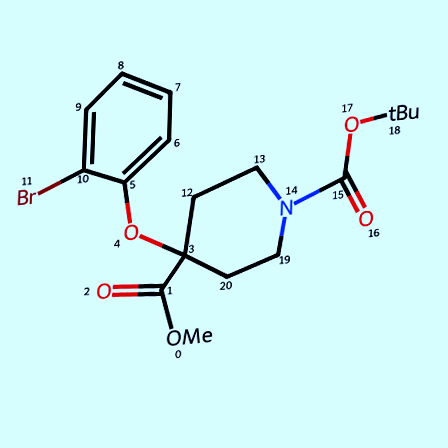 COC(=O)C1(Oc2ccccc2Br)CCN(C(=O)OC(C)(C)C)CC1